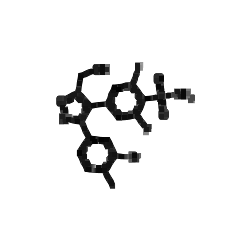 Cc1ccc(-c2noc(CO)c2-c2cc(F)c(S(N)(=O)=O)c(F)c2)cc1Br